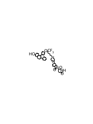 O=C1CCC(N2Cc3cc(N4CCN(CCCCC(Oc5ccc([C@@H]6c7ccc(O)cc7CC[C@@H]6c6ccccc6)cc5)C(F)(F)F)CC4)ccc3C2=O)C(=O)N1